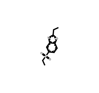 CCc1nc2cc(S(=O)(=O)CC)ccc2o1